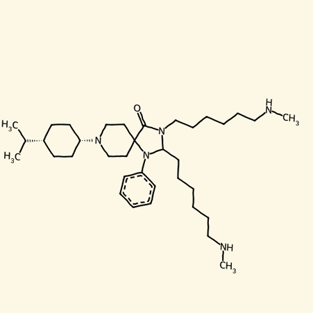 CNCCCCCCC1N(CCCCCCNC)C(=O)C2(CCN([C@H]3CC[C@@H](C(C)C)CC3)CC2)N1c1ccccc1